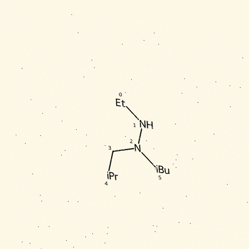 [CH2]CNN(CC(C)C)C(C)CC